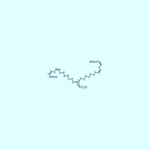 CCCCC/C=C\C/C=C\CCCCCCCC1C(CCCCCCC/C=C\C/C=C\CCCCC)C1C(=O)OCC